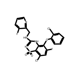 O=S1(=O)N=C(NCc2ncccc2F)Nc2c(Oc3ccccc3Cl)c(F)cc(Cl)c21